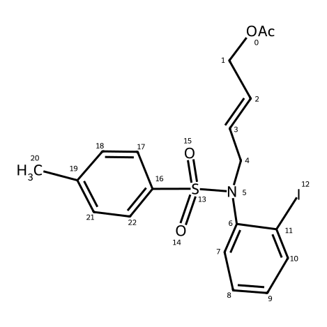 CC(=O)OC/C=C/CN(c1ccccc1I)S(=O)(=O)c1ccc(C)cc1